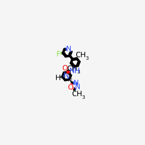 Cc1nnc([C@@]23C[C@@H](C)C[C@@H](C2)N3C(=O)Nc2ccc(C)c(-c3cncc(F)c3)c2)o1